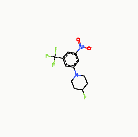 O=[N+]([O-])c1cc(N2CCC(F)CC2)cc(C(F)(F)F)c1